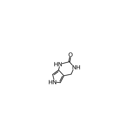 O=C1NCc2c[nH]cc2N1